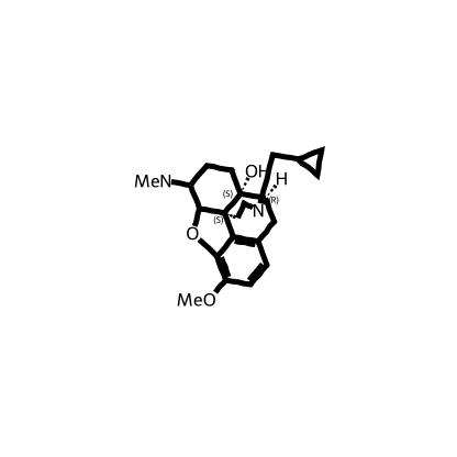 CNC1CC[C@@]2(O)[C@H]3Cc4ccc(OC)c5c4[C@@]2(CCN3CC2CC2)C1O5